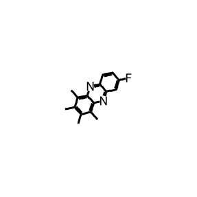 Cc1c(C)c(C)c2nc3cc(F)ccc3nc2c1C